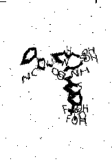 N#C[C@@H]1CN(C(=O)[C@@H]2CC[C@@H]3CCS(O)(O)C[C@H](NC(=O)c4cc5cc(C(F)(F)P(=O)(O)O)ccc5s4)C(=O)N32)C[C@H]1c1ccccc1